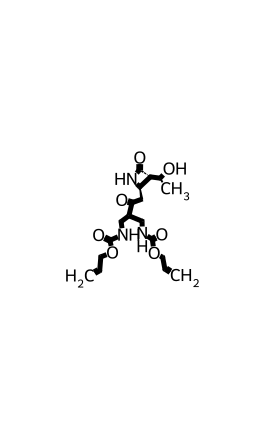 C=CCOC(=O)NCC(CNC(=O)OCC=C)C(=O)C[C@H]1NC(=O)[C@@H]1[C@@H](C)O